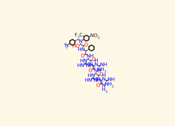 CN(C)c1ccc(CN(c2ccc([N+](=O)[O-])cc2C(F)(F)F)C(O)C(=O)NC(C(=O)NC(NC(=N)N)C(=O)NC(NC(=N)N)C(=O)NC(NC(=N)N)C(=O)NC(NC(=N)N)C(N)=O)c2ccccc2)cc1